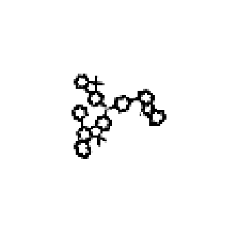 CC1(C)c2ccccc2-c2ccc(N(c3ccc(-c4cccc5c4oc4ccccc45)cc3)c3ccc4c(c3)-c3c(-c5ccccc5)cc5ccccc5c3C4(C)C)cc21